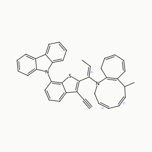 C#Cc1c(/C(=C\C)N2C/C=C\C=C/C(C)C3=C2CC=CC=C3)sc2c(-n3c4ccccc4c4ccccc43)cccc12